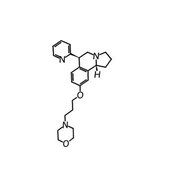 c1ccc([C@H]2CN3CCC[C@@H]3c3cc(OCCCN4CCOCC4)ccc32)nc1